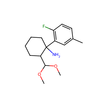 COC(OC)C1CCCCC1(N)c1cc(C)ccc1F